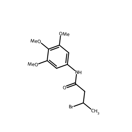 COc1cc(NC(=O)CC(C)Br)cc(OC)c1OC